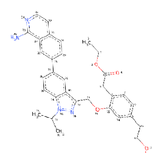 CCOC(=O)Cc1ccc(CCOC)cc1OCc1nn(C(C)C)c2ccc(-c3ccc4ccnc(N)c4c3)cc12